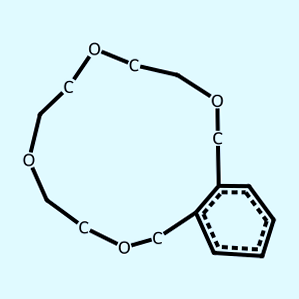 c1ccc2c(c1)COCCOCCOCCOC2